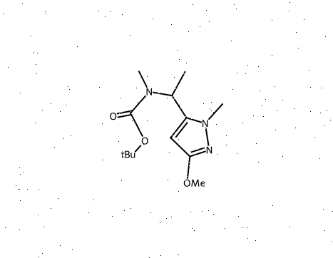 COc1cc(C(C)N(C)C(=O)OC(C)(C)C)n(C)n1